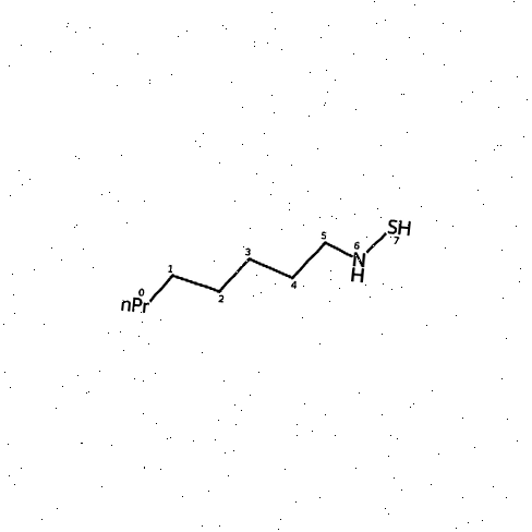 CCCCCCCCNS